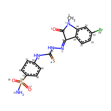 CN1C(=O)C(=NNC(=S)Nc2ccc(S(N)(=O)=O)cc2)c2ccc(Br)cc21